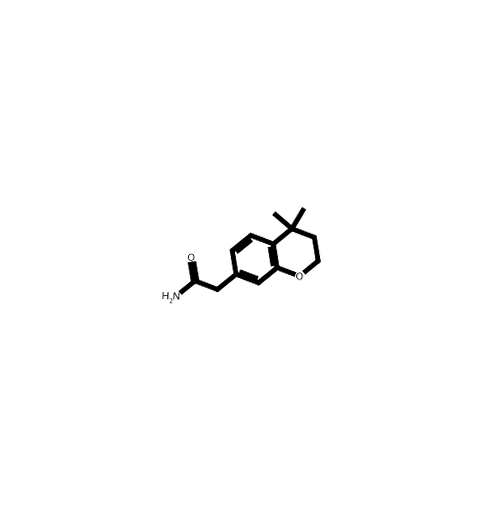 CC1(C)CCOc2cc(CC(N)=O)ccc21